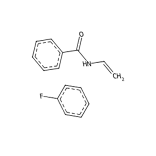 C=CNC(=O)c1ccccc1.Fc1ccccc1